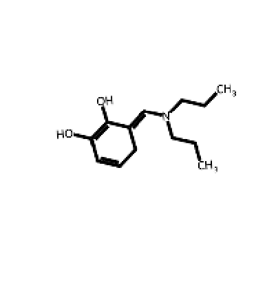 CCCN(C=C1CC=CC(O)=C1O)CCC